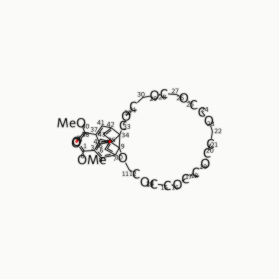 COC(=O)C1=CC2=CC(=C1)C21OCCOCCOCCOCCCOCCOCCOCCOCC12c1cc(C(=O)OC)cc2c1